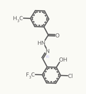 Cc1cccc(C(=O)N/N=C/c2c(C(F)(F)F)ccc(Cl)c2O)c1